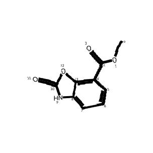 COC(=O)c1cccc2[nH]c(=O)oc12